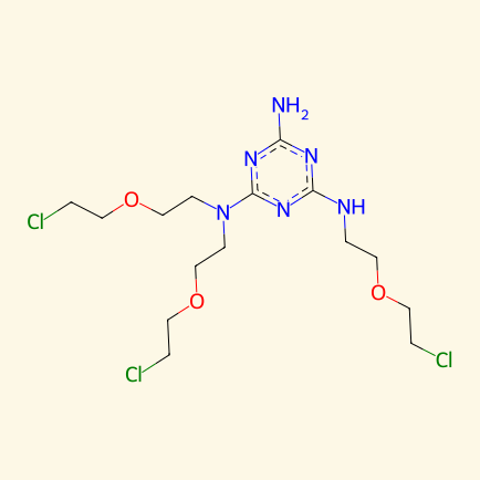 Nc1nc(NCCOCCCl)nc(N(CCOCCCl)CCOCCCl)n1